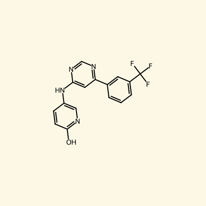 Oc1ccc(Nc2cc(-c3cccc(C(F)(F)F)c3)ncn2)cn1